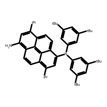 CC(C)c1cc(N)c2ccc3c(C(C)C)cc(N(c4cc(C(C)(C)C)cc(C(C)(C)C)c4)c4cc(C(C)(C)C)cc(C(C)(C)C)c4)c4ccc1c2c34